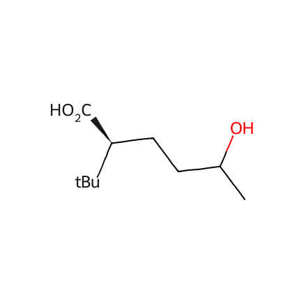 CC(O)CC[C@H](C(=O)O)C(C)(C)C